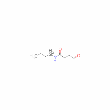 CCC[SiH2]NC(=O)CCC=O